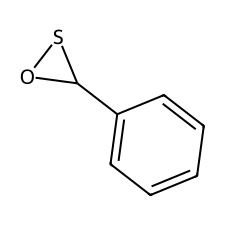 c1ccc(C2OS2)cc1